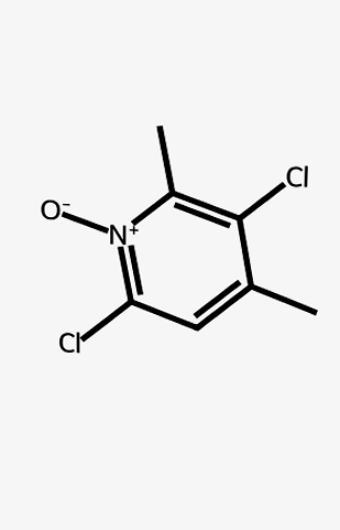 Cc1cc(Cl)[n+]([O-])c(C)c1Cl